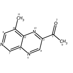 CC(=O)c1cnc2cncc(C)c2n1